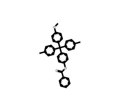 COc1ccc(C(c2ccc(C)cc2)(c2ccc(C)cc2)c2ccc(OC(=O)c3ccccc3)cc2)cc1